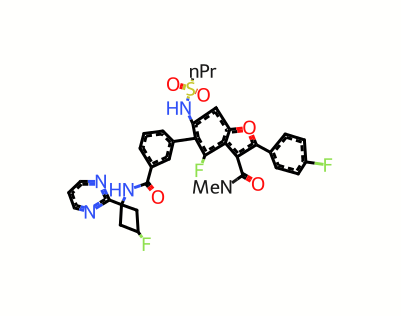 CCCS(=O)(=O)Nc1cc2oc(-c3ccc(F)cc3)c(C(=O)NC)c2c(F)c1-c1cccc(C(=O)NC2(c3ncccn3)CC(F)C2)c1